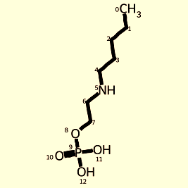 CCCCCNCCOP(=O)(O)O